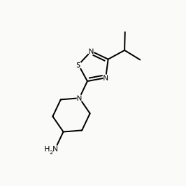 CC(C)c1nsc(N2CCC(N)CC2)n1